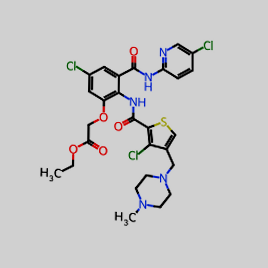 CCOC(=O)COc1cc(Cl)cc(C(=O)Nc2ccc(Cl)cn2)c1NC(=O)c1scc(CN2CCN(C)CC2)c1Cl